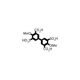 COc1c(C(=O)O)cc(-c2cc(C(=O)O)c(OC)c(S(=O)(=O)O)c2)cc1S(=O)(=O)O